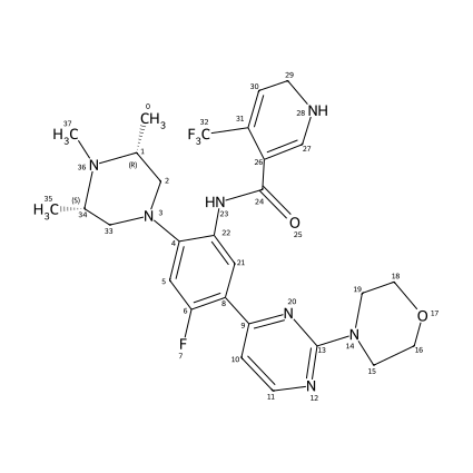 C[C@@H]1CN(c2cc(F)c(-c3ccnc(N4CCOCC4)n3)cc2NC(=O)C2=CNCC=C2C(F)(F)F)C[C@H](C)N1C